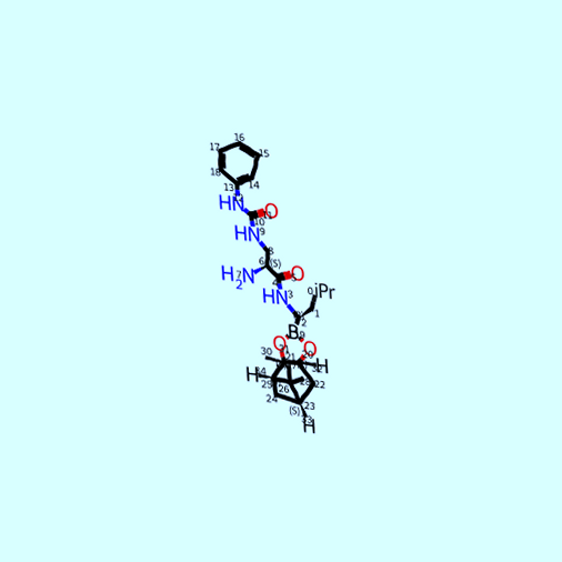 CC(C)C[C@H](NC(=O)[C@@H](N)CNC(=O)Nc1ccccc1)B1O[C@@H]2C[C@@H]3C[C@@H](C3(C)C)[C@]2(C)O1